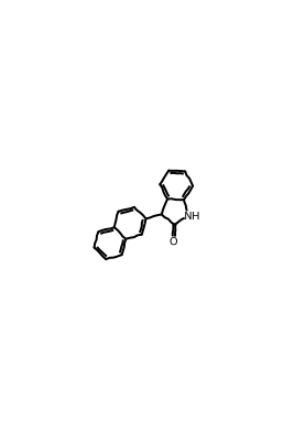 O=C1Nc2ccccc2C1c1ccc2ccccc2c1